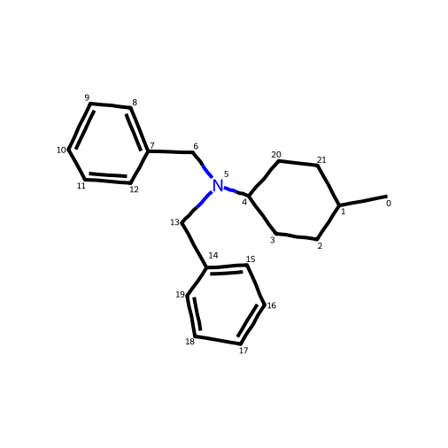 CC1CCC(N(Cc2ccccc2)Cc2ccccc2)CC1